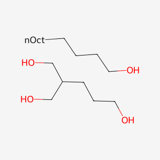 CCCCCCCCCCCCO.OCCCC(CO)CO